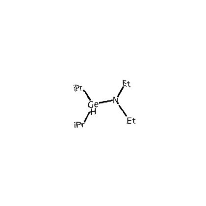 CC[N](CC)[GeH]([CH](C)C)[CH](C)C